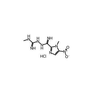 CNC(=N)NNC(=N)c1ncc([N+](=O)[O-])n1C.Cl